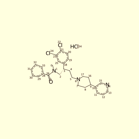 CN(C[C@@H](CCN1CCC(c2cccnc2)CC1)c1ccc(Cl)c(Cl)c1)C(=O)c1ccccc1.Cl